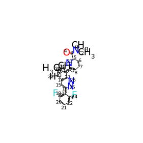 CN(C)C(=O)c1cccc([C@@]23CC[C@@H](c4cc(-c5c(F)cccc5F)nnc42)C3(C)C)n1